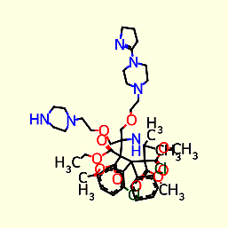 CCOC(=O)C1(C(=O)OCC)C(COCCN2CCNCC2)(COCCN2CCN(C3=NCCC3)CC2)NC(C)(C)C(C(=O)OC)(C(=O)OC)C1(c1ccccc1Cl)c1ccccc1Cl